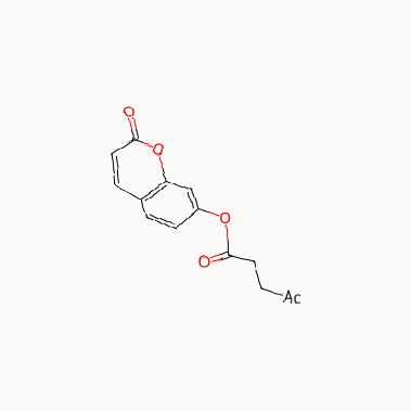 CC(=O)CCC(=O)Oc1ccc2ccc(=O)oc2c1